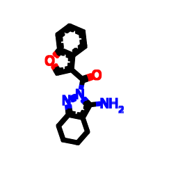 Nc1c2c(nn1C(=O)c1coc3ccccc13)CCCC2